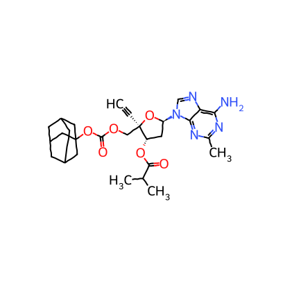 C#C[C@]1(COC(=O)OC23CC4CC(CC(C4)C2)C3)O[C@@H](n2cnc3c(N)nc(C)nc32)C[C@@H]1OC(=O)C(C)C